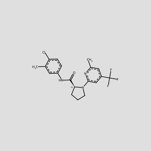 Cc1cc(C(F)(F)F)cc(N2CCC[C@H]2C(=O)Nc2ccc(Cl)c(C)c2)n1